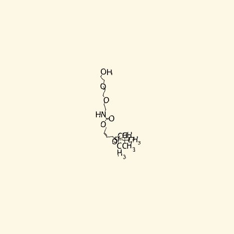 CC(C)(C)[Si](C)(C)OC/C=C\COC(=O)NCCOCCOCCO